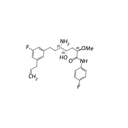 C=CCc1cc(F)cc(CC[C@H](N)[C@@H](O)C[C@@H](OC)C(=O)Nc2ccc(F)cc2)c1